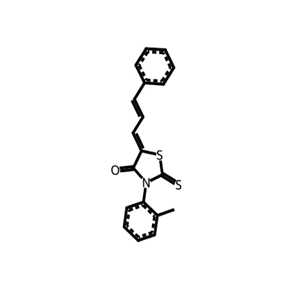 Cc1ccccc1N1C(=O)/C(=C/C=C/c2ccccc2)SC1=S